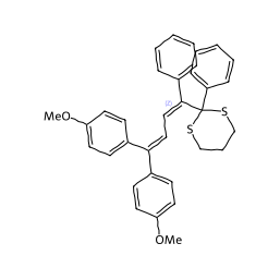 COc1ccc(C(=C/C=C(/c2ccccc2)C2(c3ccccc3)SCCCS2)c2ccc(OC)cc2)cc1